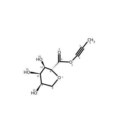 CC#COC(=O)[C@@H]1OC[C@@H](O)[C@@H](O)[C@H]1O